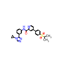 CC(C)S(=O)(=O)c1ccc(-c2ccnc(C(=O)Nc3cccc(-c4nncn4C4CC4)c3)c2)cc1